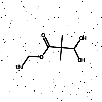 CC(C)(C)COC(=O)C(C)(C)C(O)O